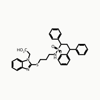 O=C(O)Cn1c(SCCCNS(=O)(=O)C(CC(c2ccccc2)c2ccccc2)c2ccccc2)nc2ccccc21